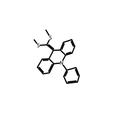 CSC(SC)=C1c2ccccc2N(c2ccccc2)c2ccccc21